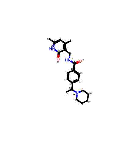 Cc1cc(C)c(CNC(=O)c2ccc(C(C)N3CCCCC3)cc2)c(=O)[nH]1